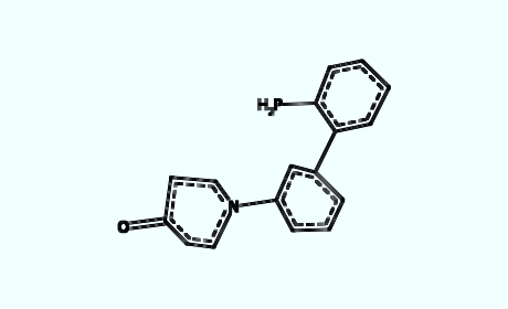 O=c1ccn(-c2cccc(-c3ccccc3P)c2)cc1